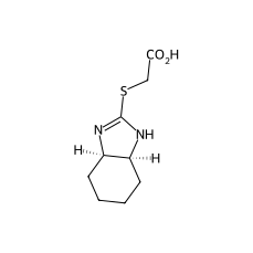 O=C(O)CSC1=N[C@@H]2CCCC[C@@H]2N1